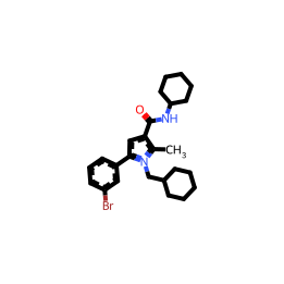 Cc1c(C(=O)NC2CCCCC2)cc(-c2cccc(Br)c2)n1CC1CCCCC1